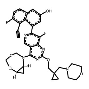 C#Cc1c(F)ccc2cc(O)cc(-c3ncc4c(N5CCCO[C@@H]6C[C@@H]65)nc(OCC5(CN6CCOCC6)CC5)nc4c3F)c12